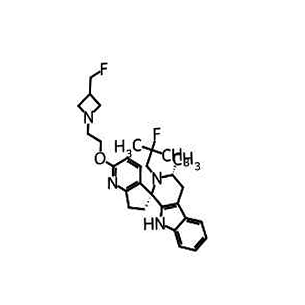 C[C@@H]1Cc2c([nH]c3ccccc23)[C@]2(CCc3nc(OCCN4CC(CF)C4)ccc32)N1CC(C)(C)F